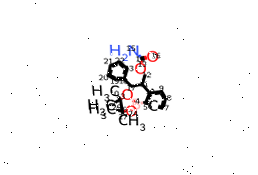 CC1(C)OB(c2ccccc2C(COC(N)=O)Cc2ccccc2)OC1(C)C